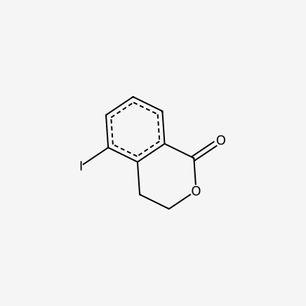 O=C1OCCc2c(I)cccc21